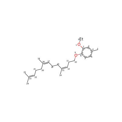 CCOc1cc(C)ccc1OCCC=C(C)CCC=C(C)CCC=C(C)C